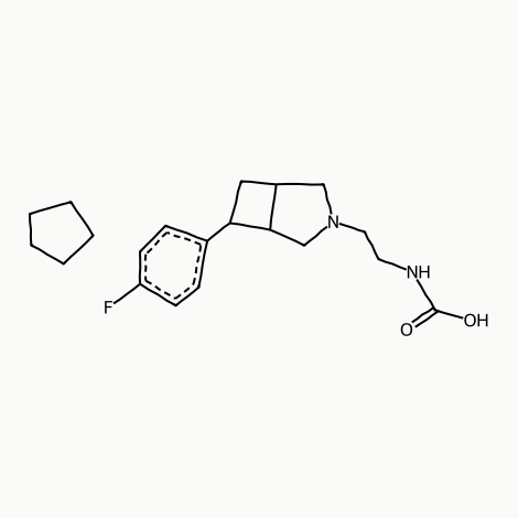 C1CCCC1.O=C(O)NCCN1CC2CC(c3ccc(F)cc3)C2C1